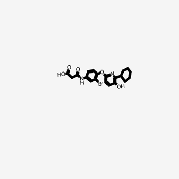 O=C(O)CC(=O)Nc1ccc(Oc2ccc(O)c(C3CCCCC3)n2)c(Br)c1